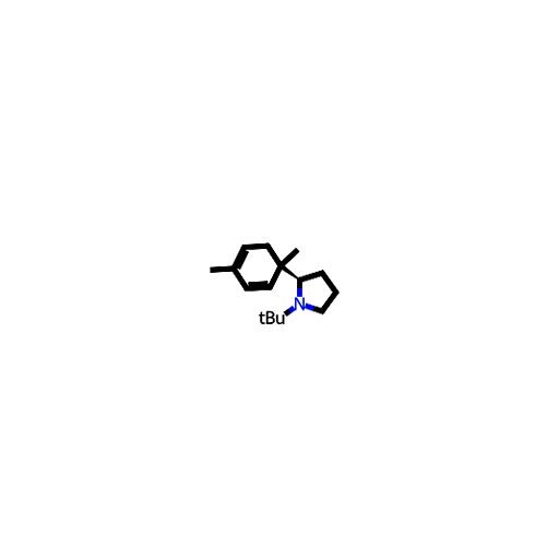 CC1=CCC(C)([C@H]2CCCN2C(C)(C)C)C=C1